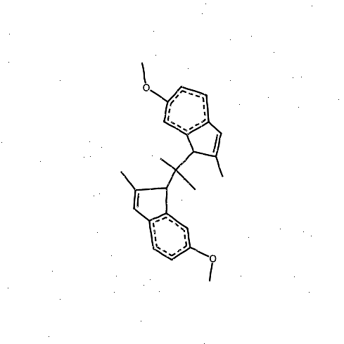 COc1ccc2c(c1)C(C(C)(C)C1C(C)=Cc3ccc(OC)cc31)C(C)=C2